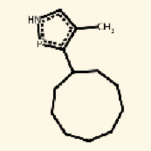 Cc1c[nH]pc1C1CCCCCCCC1